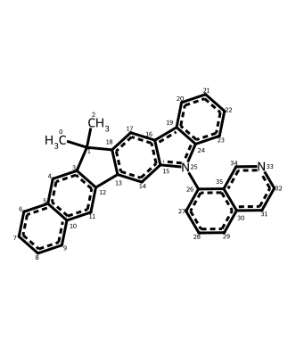 CC1(C)c2cc3ccccc3cc2-c2cc3c(cc21)c1ccccc1n3-c1cccc2ccncc12